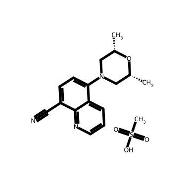 CS(=O)(=O)O.C[C@@H]1CN(c2ccc(C#N)c3ncccc23)C[C@H](C)O1